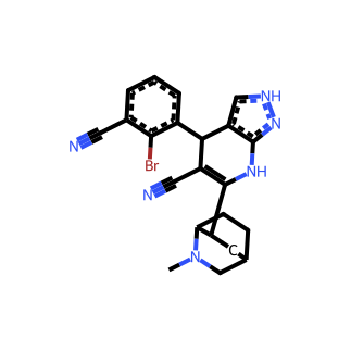 CN1CC2CCC1C(C1=C(C#N)C(c3cccc(C#N)c3Br)c3c[nH]nc3N1)C2